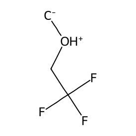 [CH2-][OH+]CC(F)(F)F